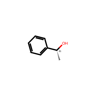 C[C@@H](O)c1c[c]ccc1